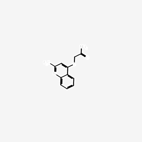 NC(=O)CSc1cc(C(F)(F)F)nc2ccccc12